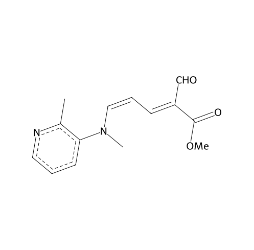 COC(=O)/C(C=O)=C/C=C\N(C)c1cccnc1C